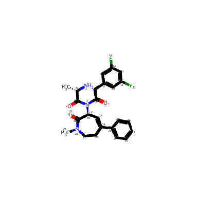 C[C@H](N)C(=O)N(C(=O)Cc1cc(F)cc(F)c1)[C@H]1C=C(c2ccccc2)CCN(C)C1=O